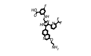 NCCOc1cnc2ccc(-c3[nH]c(CNc4cc(F)cc(C(=O)O)c4)nc3-c3cccc(C(F)F)n3)cc2c1